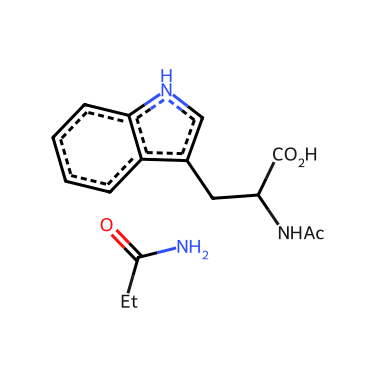 CC(=O)NC(Cc1c[nH]c2ccccc12)C(=O)O.CCC(N)=O